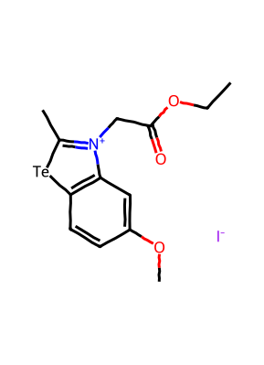 CCOC(=O)C[n+]1c(C)[te]c2ccc(OC)cc21.[I-]